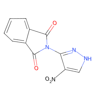 O=C1c2ccccc2C(=O)N1c1n[nH]cc1[N+](=O)[O-]